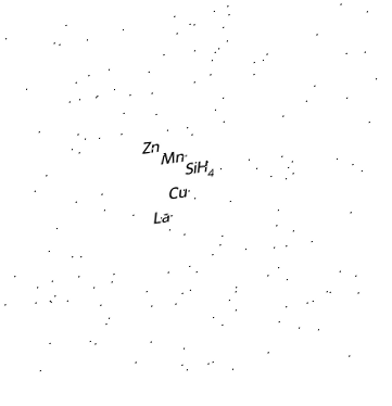 [Cu].[La].[Mn].[SiH4].[Zn]